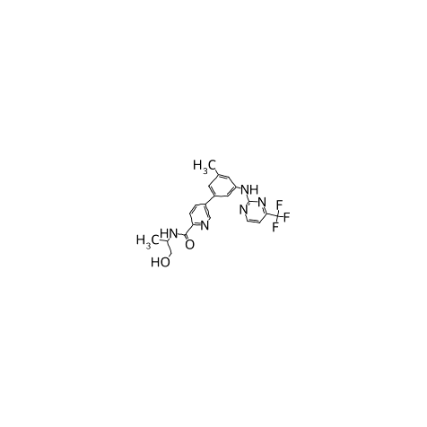 Cc1cc(Nc2nccc(C(F)(F)F)n2)cc(-c2ccc(C(=O)NC(C)CO)nc2)c1